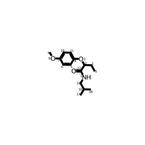 CCC(Oc1ccc(OC)cc1)C(=O)NCC(C)C